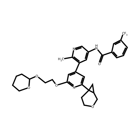 Cc1ncc(NC(=O)c2cccc(C(F)(F)F)c2)cc1-c1cc(OCCOC2CCCCO2)nc(C23CCOCC2C3)c1